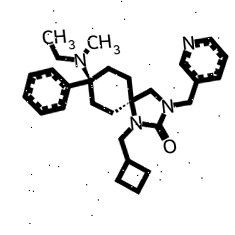 CCN(C)[C@]1(c2ccccc2)CC[C@]2(CC1)CN(Cc1cccnc1)C(=O)N2CC1CCC1